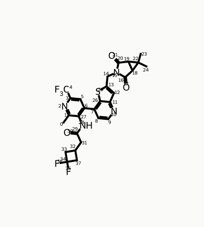 Cc1nc(C(F)(F)F)cc(-c2ccnc3cc(CN4C(=O)C5C(C4=O)C5(C)C)sc23)c1NC(=O)CC1CC(F)(F)C1